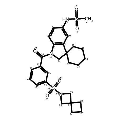 CS(=O)(=O)Nc1ccc2c(c1)C1(CCCCC1)CN2C(=O)c1cccc(S(=O)(=O)N2CC3(CCC3)C2)c1